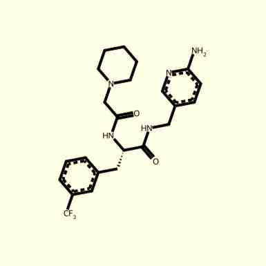 Nc1ccc(CNC(=O)[C@H](Cc2cccc(C(F)(F)F)c2)NC(=O)CN2CCCCC2)cn1